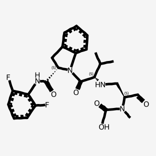 CC(C)[C@H](NC[C@@H](C=O)N(C)C(=O)O)C(=O)N1c2ccccc2C[C@H]1C(=O)Nc1c(F)cccc1F